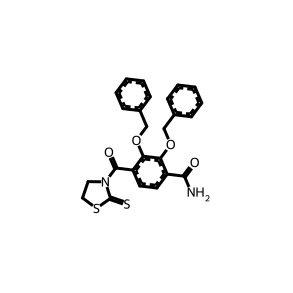 NC(=O)c1ccc(C(=O)N2CCSC2=S)c(OCc2ccccc2)c1OCc1ccccc1